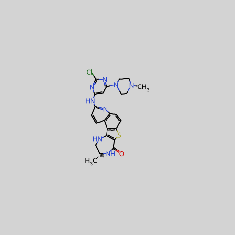 C[C@@H]1CNc2c(sc3ccc4nc(Nc5cc(N6CCN(C)CC6)nc(Cl)n5)ccc4c23)C(=O)N1